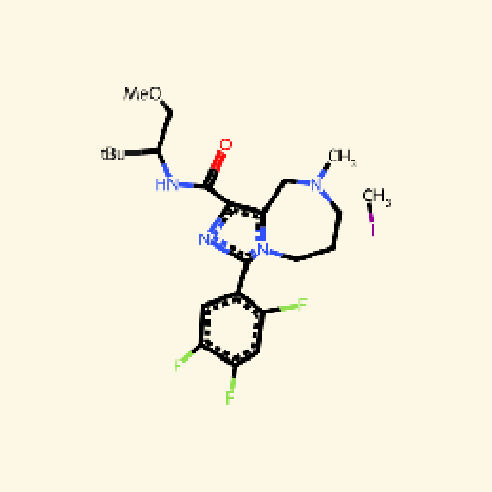 CI.COCC(NC(=O)c1nc(-c2cc(F)c(F)cc2F)n2c1CN(C)CCC2)C(C)(C)C